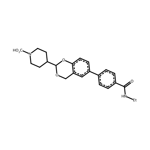 CCNC(=O)c1ccc(-c2ccc3c(c2)COC(C2CCN(C(=O)O)CC2)O3)cc1